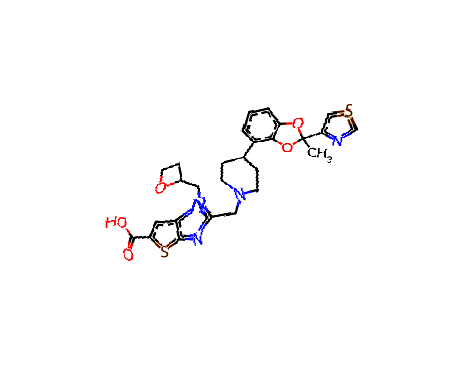 CC1(c2cscn2)Oc2cccc(C3CCN(Cc4nc5sc(C(=O)O)cc5n4CC4CCO4)CC3)c2O1